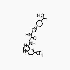 CC(O)C1CCC(N2CC(NC(=O)CNc3ncnc4ccc(C(F)(F)F)cc34)C2)CC1